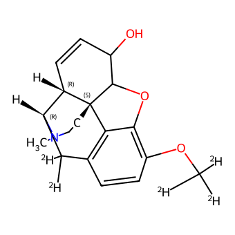 [2H]C([2H])([2H])Oc1ccc2c3c1OC1C(O)C=C[C@H]4[C@H](N(C)CC[C@]314)C2([2H])[2H]